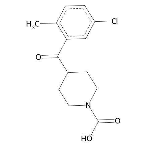 Cc1ccc(Cl)cc1C(=O)C1CCN(C(=O)O)CC1